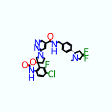 CN1CC(F)(F)C[C@H]1c1ccc(CNC(=O)c2cnnc(N3CCC4(C3)OC(=O)Nc3ccc(Cl)c(F)c34)c2)cc1